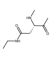 CCNC(=O)C[C@H](NC)C(C)=O